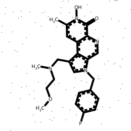 COCCN(C)Cc1cn(Cc2ccc(F)cc2)c2cnc3c(=O)n(O)c(C)cc3c12